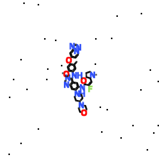 COc1cc(Oc2ccn3ncnc3c2)c(C)cc1Nc1ncnc2cc(N3CCC(N4CCOCC4)CC3)c(NC(=O)/C(F)=C\C3CCCN3C)cc12